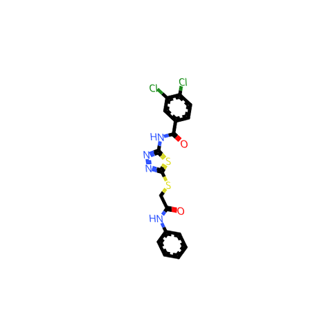 O=C(CSc1nnc(NC(=O)c2ccc(Cl)c(Cl)c2)s1)Nc1ccccc1